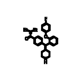 CCN(CC)C(=O)c1ccc(C(=C2CCNCC2)c2ccccc2Oc2ccc(F)cc2)cc1